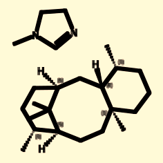 CN1C=NCC1.C[C@@H]1CCC[C@@]2(C)CC[C@H]3[C@H](C)CC[C@@H](C[C@H]12)C3(C)C